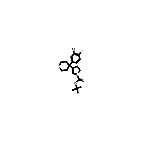 CC(C)(C)OC(=O)N1CCC(C2(c3ccc(Cl)c(Cl)c3)CCOCC2)C1